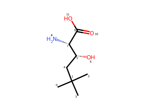 CC(C)(C)C[C@@H](O)[C@H](N)C(=O)O